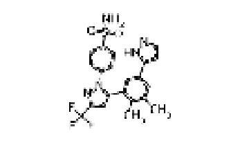 Cc1cc(-c2ccn[nH]2)cc(-c2cc(C(F)(F)F)nn2-c2ccc(S(N)(=O)=O)cc2)c1C